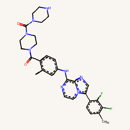 COc1ccc(-c2cnc3c(Nc4ccc(C(=O)N5CCN(C(=O)N6CCNCC6)CC5)c(C)c4)nccn23)c(F)c1F